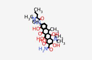 CCCC(C(=O)Nc1ccc2c(c1O)C(=O)C1=C(O)[C@]3(O)C(=O)C(C(N)=O)=C(O)[C@@H](N(C)C)C3C(O)C1C2C)N(C)C